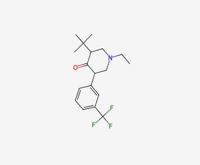 CCN1CC(c2cccc(C(F)(F)F)c2)C(=O)C(C(C)(C)C)C1